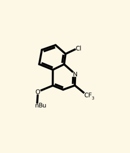 CCCCOc1cc(C(F)(F)F)nc2c(Cl)cccc12